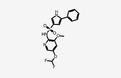 COc1cc(OC(F)F)cnc1NS(=O)(=O)c1c[nH]c(-c2ccccc2)c1